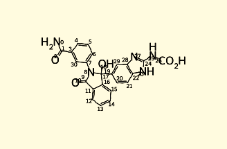 NC(=O)c1cccc(N2C(=O)c3ccccc3C2(O)c2ccc3[nH]c(NC(=O)O)nc3c2)c1